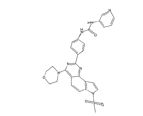 CS(=O)(=O)n1ccc2c3nc(-c4ccc(NC(=O)Nc5cccnc5)cc4)nc(N4CCOCC4)c3ccc21